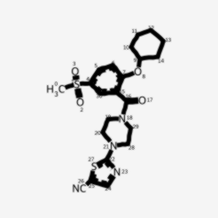 CS(=O)(=O)c1ccc(OC2CCCCC2)c(C(=O)N2CCN(c3ncc(C#N)s3)CC2)c1